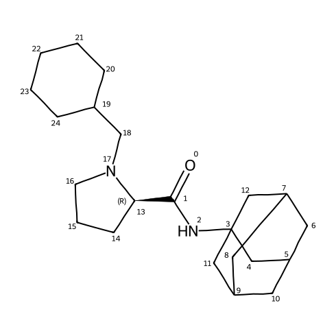 O=C(NC12CC3CC(CC(C3)C1)C2)[C@H]1CCCN1CC1CCCCC1